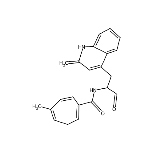 C=C1C=C(CC(C=O)NC(=O)C2=CCC=C(C)C=C2)c2ccccc2N1